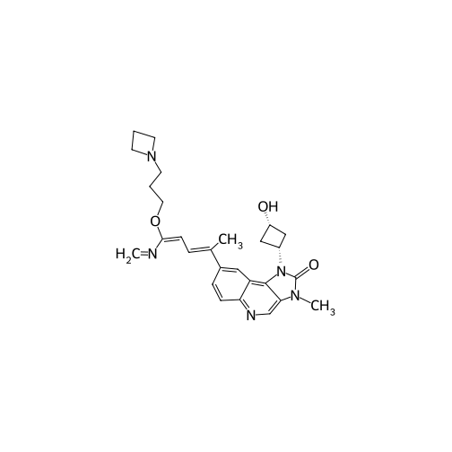 C=N/C(=C\C=C(/C)c1ccc2ncc3c(c2c1)n([C@H]1C[C@@H](O)C1)c(=O)n3C)OCCCN1CCC1